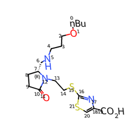 CCCCOCCCNC[C@H]1CCC(=O)N1CCSc1nc(C(=O)O)cs1